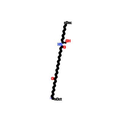 CCCCCCCC/C=C\CCCCCCCC(=O)CCCCCCCCCCCCCCC(=O)N[C@H](CO)CCCCCCCCCCCCCCCCCC